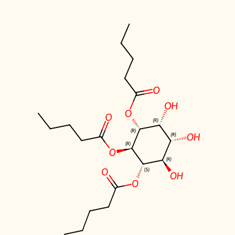 CCCCC(=O)O[C@H]1[C@H](OC(=O)CCCC)[C@H](O)[C@H](O)[C@@H](O)[C@@H]1OC(=O)CCCC